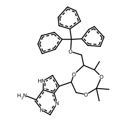 CC1OC(C)(C)OCC(c2c[nH]c3c(N)ncnc23)OC1COC(c1ccccc1)(c1ccccc1)c1ccccc1